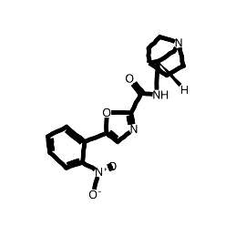 O=C(N[C@H]1CN2CCC1CC2)c1ncc(-c2ccccc2[N+](=O)[O-])o1